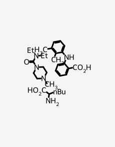 CCCCC(N)C(=O)O.CCN(CC)C(=O)N1CCN(C)CC1.Cc1cccc(Nc2ccccc2C(=O)O)c1C